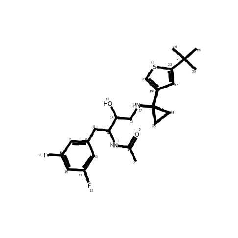 CC(=O)NC(Cc1cc(F)cc(F)c1)C(O)CNC1(c2csc(C(C)(C)C)c2)CC1